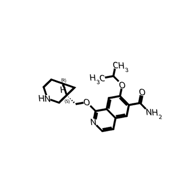 CC(C)Oc1cc2c(OC[C@]34CNCC[C@H]3C4)nccc2cc1C(N)=O